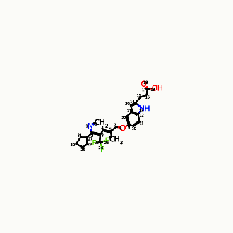 C=N/C(=C(\C=C(/C)COc1ccc2[nH]c(CCC(=O)O)cc2c1)C(F)(F)F)C1CCCC1